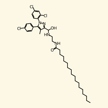 CCCCCCCCCCCCCCCCCC(=O)NCCNC(O)c1nn(-c2ccc(Cl)cc2Cl)c(-c2ccc(Cl)cc2)c1C